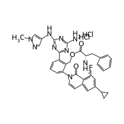 Cl.Cl.Cn1cc(Nc2nc(N)nc(-c3cccc(-n4ccc5cc(C6CC6)cc(F)c5c4=O)c3COC(=O)[C@@H](N)Cc3ccccc3)n2)cn1